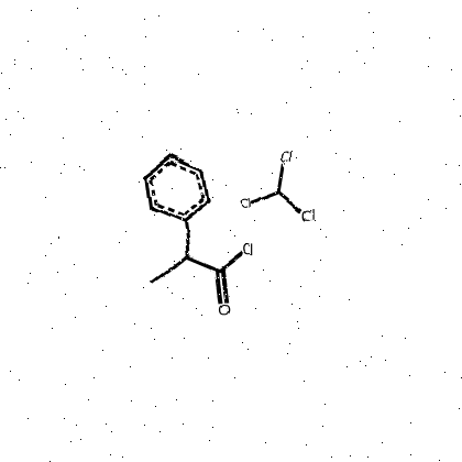 CC(C(=O)Cl)c1ccccc1.ClC(Cl)Cl